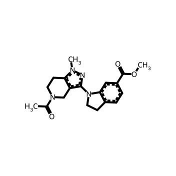 COC(=O)c1ccc2c(c1)N(c1nn(C)c3c1CN(C(C)=O)CC3)CC2